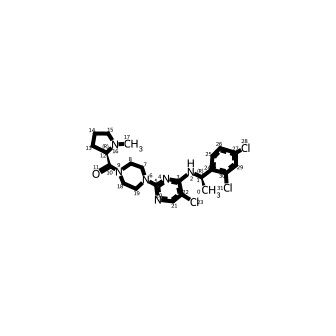 C[C@@H](Nc1nc(N2CCN(C(=O)[C@H]3CCCN3C)CC2)ncc1Cl)c1ccc(Cl)cc1Cl